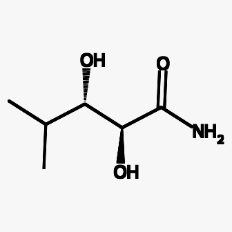 CC(C)[C@H](O)[C@H](O)C(N)=O